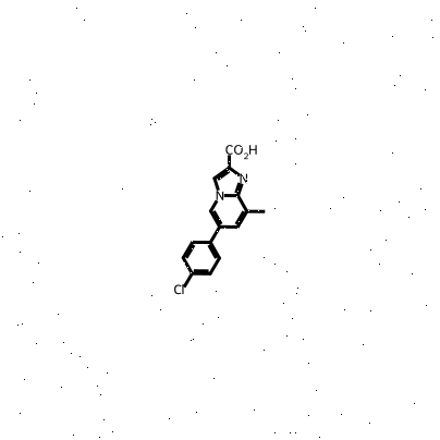 Cc1cc(-c2ccc(Cl)cc2)cn2cc(C(=O)O)nc12